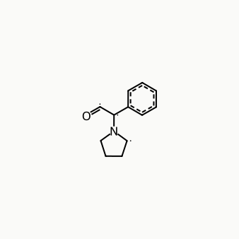 O=[C][C](c1ccccc1)N1[CH]CCC1